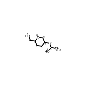 CC(O)OC1CCC(CO)OC1